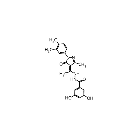 CC1=NN(c2ccc(C)c(C)c2)C(=O)C1=C(C)NNC(=O)c1cc(O)cc(O)c1